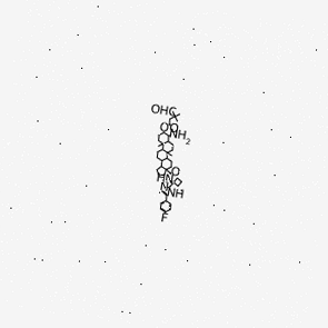 CC(C)(C=O)CC(=O)OC1CCC2(C)C(CCC3(C)C4CCC5(C(=O)NC6(c7ncc(-c8ccc(F)cc8)[nH]7)CCC6)CCCC5C4CCC23)C1N